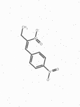 CCC(=Cc1ccc([N+](=O)[O-])cc1)[N+](=O)[O-]